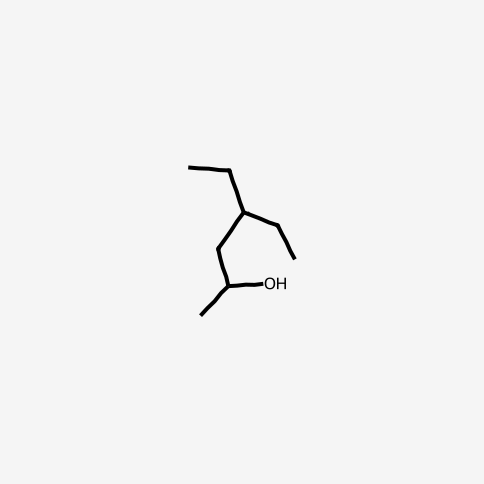 CC[C](CC)CC(C)O